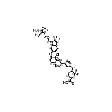 Cc1nc2ccc(Oc3ccc4ncc(-c5cnn(CC6CCN(C(=O)O)CC6(F)F)c5)nc4c3Cl)cc2n1COCC[Si](C)(C)C